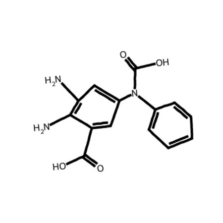 Nc1cc(N(C(=O)O)c2ccccc2)cc(C(=O)O)c1N